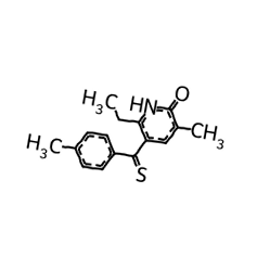 CCc1[nH]c(=O)c(C)cc1C(=S)c1ccc(C)cc1